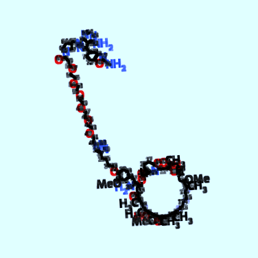 CO[C@H]1C[C@@H]2CC[C@@H](C)[C@@](O)(O2)C(=O)C(=O)N2CCCC[C@H]2C(=O)O[C@H]([C@H](N)C[C@@H]2CC[C@@H](OCCCCc3cn(CCOCCOCCOCCOCCOCCOCCC(=O)N4CCC(Cn5nc(-c6ccc7oc(N)nc7c6)c6c(N)ncnc65)C4)nn3)[C@H](OC)C2)CC(=O)[C@H](C)/C=C(\C)[C@@H](O)[C@@H](OC)C(=O)[C@H](C)C[C@H](C)/C=C/C=C/C=C/1C